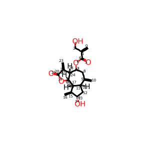 C=C(CO)C(=O)O[C@H]1CC(=C)[C@@H]2C[C@H](O)C(=C)[C@@H]2[C@@H]2OC(=O)C(=C)[C@@H]21